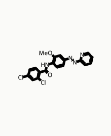 COc1cc(N=Nc2ccccn2)ccc1NC(=O)c1ccc(Cl)cc1Cl